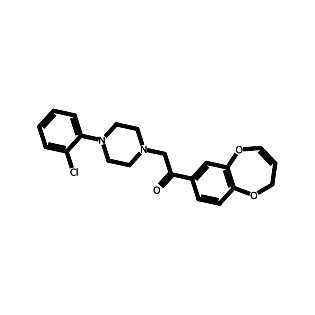 O=C(CN1CCN(c2ccccc2Cl)CC1)c1ccc2c(c1)OC=CCO2